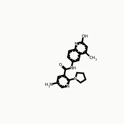 Cc1cc(O)nc2ccc(NC(=O)c3cc(N)cnc3N3CCCC3)cc12